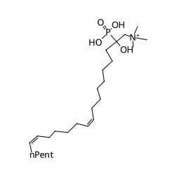 CCCCC/C=C\CCCC/C=C\CCCCCCCC(O)(C[N+](C)(C)C)P(=O)(O)O